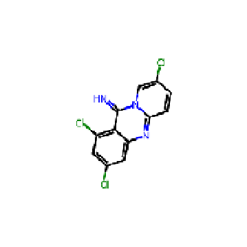 N=c1c2c(Cl)cc(Cl)cc2nc2ccc(Cl)cn12